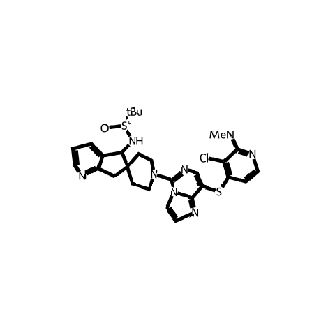 CNc1nccc(Sc2cnc(N3CCC4(CC3)Cc3ncccc3C4N[S@+]([O-])C(C)(C)C)n3ccnc23)c1Cl